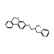 NC(COc1ccc2c(c1)OCc1cnccc1-2)Cc1ccccc1